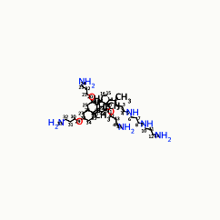 C[C@H](CCCNCCCNCCCN)[C@H]1CC[C@H]2C3[C@H](OCCCN)CC4C[C@H](OCCCN)CCC4(C)[C@H]3C[C@H](OCCCN)C12C